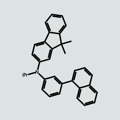 CC(C)N(c1cccc(-c2cccc3ccccc23)c1)c1ccc2c(c1)C(C)(C)c1ccccc1-2